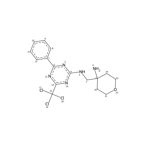 NC1(CNc2nc(-c3ccccc3)nc(C(Cl)(Cl)Cl)n2)CCOCC1